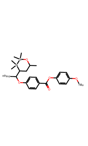 CCCCCC(Oc1ccc(C(=O)Oc2ccc(OCCCC)cc2)cc1)C1CC(C)O[Si](C)(C)[Si]1(C)C